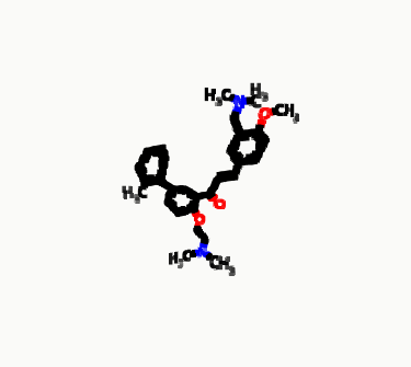 COc1ccc(C=CC(=O)c2cc(-c3ccccc3C)ccc2OCCN(C)C)cc1CN(C)C